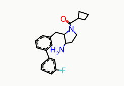 NC1CCN(C(=O)C2CCC2)C1Cc1cccc(-c2cccc(F)c2)c1